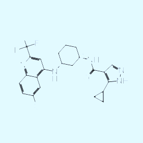 O=C(N[C@@H]1CCC[C@H](Nc2cc(C(F)(F)F)nc3ccc(Cl)cc23)C1)c1cn[nH]c1C1CC1